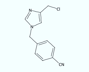 N#Cc1ccc(Cn2cnc(CCl)c2)cc1